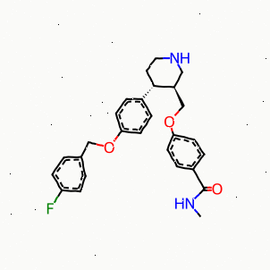 CNC(=O)c1ccc(OC[C@@H]2CNCC[C@H]2c2ccc(OCc3ccc(F)cc3)cc2)cc1